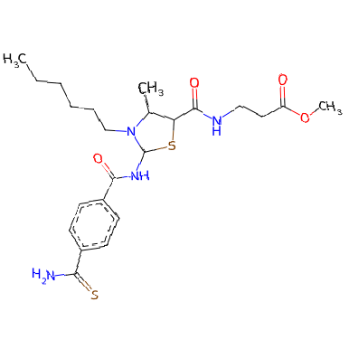 CCCCCCN1C(NC(=O)c2ccc(C(N)=S)cc2)SC(C(=O)NCCC(=O)OC)C1C